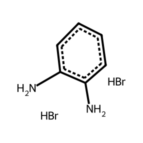 Br.Br.Nc1ccccc1N